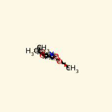 CCCCCCOCCOc1ccc(-c2ccc(OC(=O)CC(C)CC)cc2)nc1